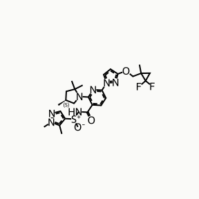 Cc1c([S+]([O-])NC(=O)c2ccc(-n3ccc(OCC4(C)CC4(F)F)n3)nc2N2C[C@@H](C)CC2(C)C)cnn1C